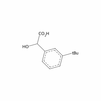 CC(C)(C)c1cccc(C(O)C(=O)O)c1